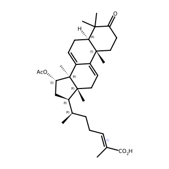 CC(=O)O[C@H]1C[C@H]([C@H](C)CC/C=C(\C)C(=O)O)[C@@]2(C)CC=C3C(=CC[C@H]4C(C)(C)C(=O)CC[C@]34C)[C@]12C